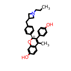 CCCN1CC(Cc2ccc([C@@H]3Oc4cc(O)ccc4C(C)=C3c3ccc(O)cc3)cc2)C1